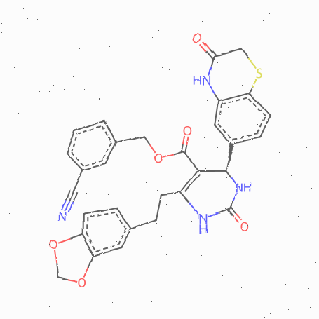 N#Cc1cccc(COC(=O)C2=C(CCc3ccc4c(c3)OCO4)NC(=O)N[C@@H]2c2ccc3c(c2)NC(=O)CS3)c1